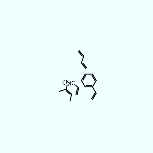 C=CC#N.C=CC=C.C=Cc1ccccc1.CC=C(C)C#N